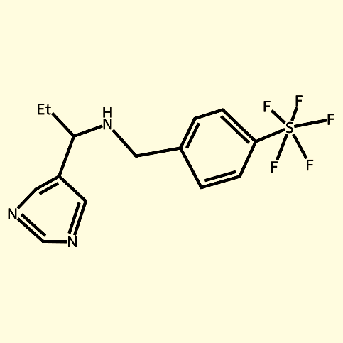 CCC(NCc1ccc(S(F)(F)(F)(F)F)cc1)c1cncnc1